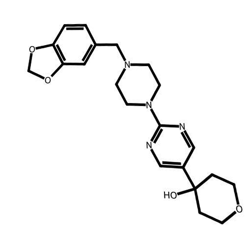 OC1(c2cnc(N3CCN(Cc4ccc5c(c4)OCO5)CC3)nc2)CCOCC1